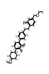 CCOCc1ccc(CCc2ccc(-c3ccc(C4CCC(OC)CC4)c(F)c3F)cc2)c(F)c1